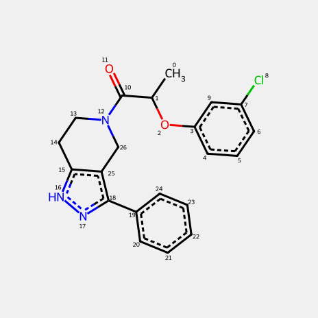 CC(Oc1cccc(Cl)c1)C(=O)N1CCc2[nH]nc(-c3ccccc3)c2C1